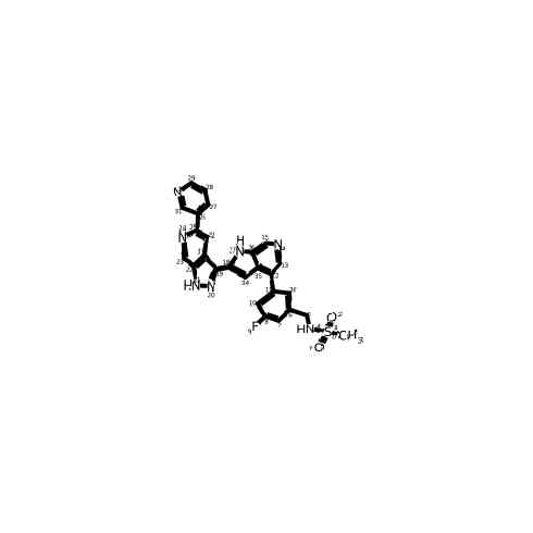 CS(=O)(=O)NCc1cc(F)cc(-c2cncc3[nH]c(-c4n[nH]c5cnc(-c6cccnc6)cc45)cc23)c1